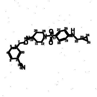 N#Cc1cccc(CON=C2CCN(S(=O)(=O)c3ccc(NCC4CC4)cc3)CC2)c1